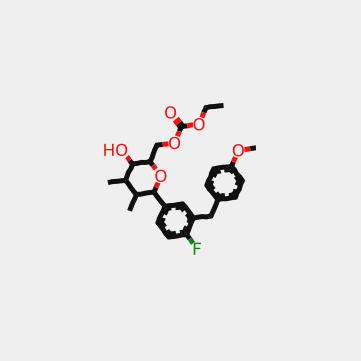 CCOC(=O)OCC1OC(c2ccc(F)c(Cc3ccc(OC)cc3)c2)C(C)C(C)C1O